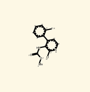 CC(C)(C)OC(=O)Nc1c(-c2ccccc2F)ccnc1Cl